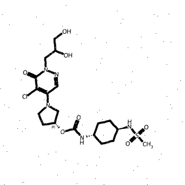 CS(=O)(=O)N[C@H]1CC[C@H](NC(=O)O[C@@H]2CCN(c3cnn(CC(O)CO)c(=O)c3Cl)C2)CC1